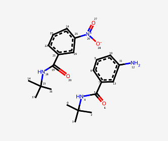 CC(C)(C)NC(=O)c1cccc(N)c1.CC(C)(C)NC(=O)c1cccc([N+](=O)[O-])c1